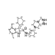 Cc1ccc(F)c2c1NC(C(=O)N[C@@H]1CCC[C@@H](N3CCN4CNNC4C3)C1)C2C1CCCCC1